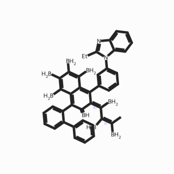 B=c1c(-c2ccccc2-c2ccccc2)c2c(B)c(B)c(B)c(B)c2c(-c2cccc(-n3c(CC)nc4ccccc43)c2)/c1=C(B)/C(B)=C(/B)C